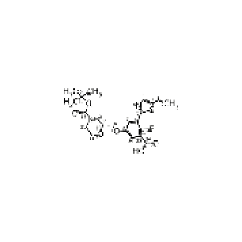 CCc1cnc(-c2cc(OC[C@H]3CN(C(=O)OC(C)(C)C)CCO3)cc(C(=O)O)c2F)s1